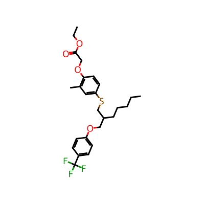 CCCCCC(COc1ccc(C(F)(F)F)cc1)CSc1ccc(OCC(=O)OCC)c(C)c1